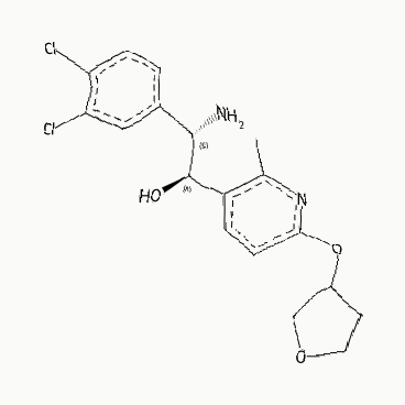 Cc1nc(OC2CCOC2)ccc1[C@@H](O)[C@@H](N)c1ccc(Cl)c(Cl)c1